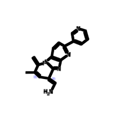 C=C(F)/C(C)=C\C(=C/N)c1nc2nc(-c3cccnc3)ccc2s1